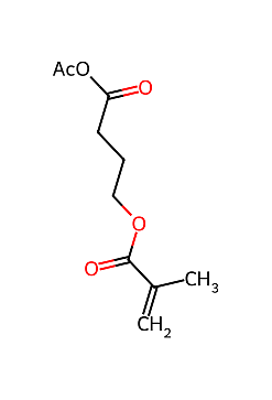 C=C(C)C(=O)OCCCC(=O)OC(C)=O